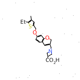 CCc1sc(COc2ccc3c(c2)OCC(CN2CC(C(=O)O)C2)=C3)cc1C